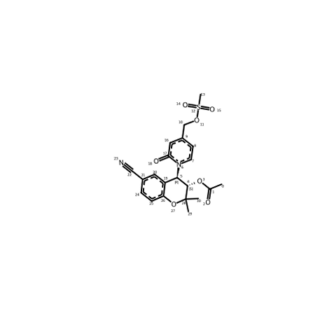 CC(=O)O[C@H]1[C@H](n2ccc(COS(C)(=O)=O)cc2=O)c2cc(C#N)ccc2OC1(C)C